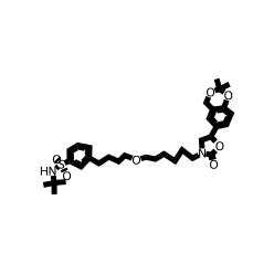 CC(C)(C)NS(=O)(=O)c1cccc(CCCCOCCCCCCN2CC(c3ccc4c(c3)COC(C)(C)O4)OC2=O)c1